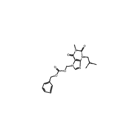 CC(C)Cn1c(=O)n(C)c(=O)c2c1ncn2COC(=O)OCc1ccccc1